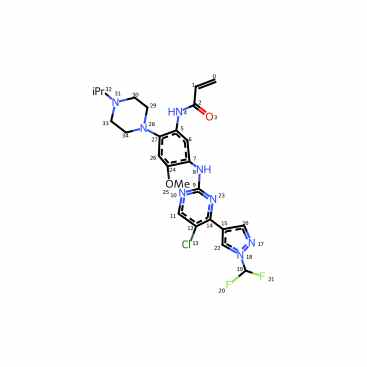 C=CC(=O)Nc1cc(Nc2ncc(Cl)c(-c3cnn(C(F)F)c3)n2)c(OC)cc1N1CCN(C(C)C)CC1